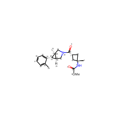 COC(=O)N[C@]1(C)C[C@H](C(=O)N2C[C@H]3[C@H](c4ccccc4C)[C@@]3(C)C2)C1